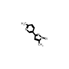 CCn1nc(-c2ccc(C)nc2)cc1C